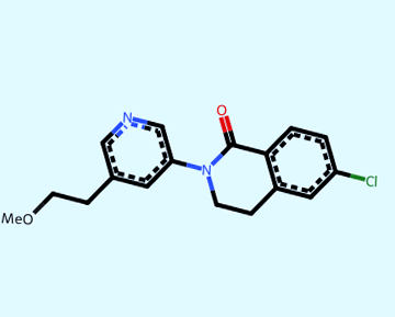 COCCc1cncc(N2CCc3cc(Cl)ccc3C2=O)c1